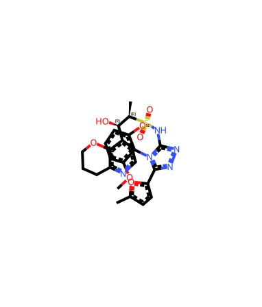 COc1cccc(OC)c1-n1c(NS(=O)(=O)[C@H](C)[C@H](O)c2ccnc3c2OCCC3)nnc1-c1ccc(C)o1